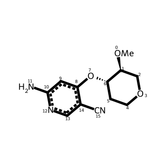 CO[C@H]1COCC[C@@H]1Oc1cc(N)ncc1C#N